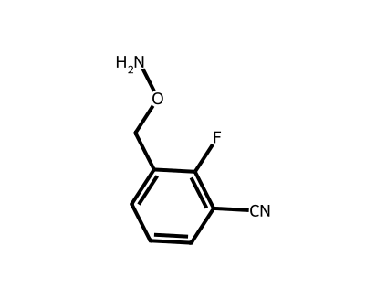 N#Cc1cccc(CON)c1F